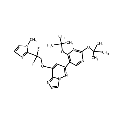 Cn1ccnc1C(F)(F)COc1cc(-c2cnc(OC(C)(C)C)nc2OC(C)(C)C)nn2ccnc12